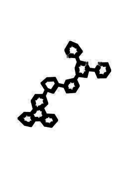 C1=CC(c2cccc(-c3cc(-c4ccccn4)nc(-c4ccccn4)c3)c2)=CC(c2ccc3c4ccccc4c4ccccc4c3c2)C1